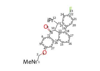 CNCCOc1ccc(C(=O)C(CC(C)C)c2ccccc2-c2ccc(F)cc2)cc1